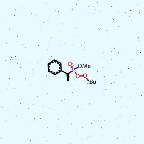 C=C(c1ccccc1)P(=O)(OC)OOC(C)CC